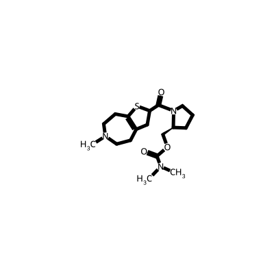 CN1CCC2=C(CC1)SC(C(=O)N1CCC[C@H]1COC(=O)N(C)C)C2